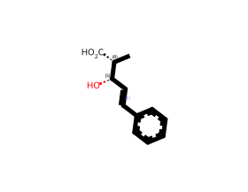 C[C@@H](C(=O)O)[C@@H](O)/C=C/c1ccccc1